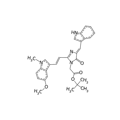 COc1ccc2c(c1)c(/C=C/C1=NC(=C\c3c[nH]c4ccccc34)/C(=O)N1CC(=O)OC(C)(C)C)cn2C